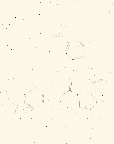 O=C(OCc1ccc([N+](=O)[O-])cc1)[C@@H]1CC(S)CN1C(=O)OCc1ccc([N+](=O)[O-])cc1